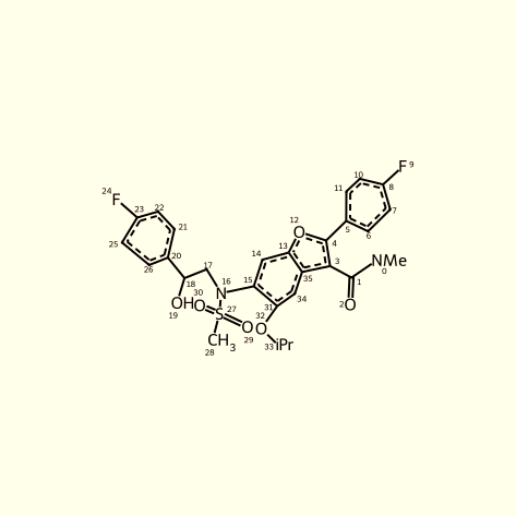 CNC(=O)c1c(-c2ccc(F)cc2)oc2cc(N(CC(O)c3ccc(F)cc3)S(C)(=O)=O)c(OC(C)C)cc12